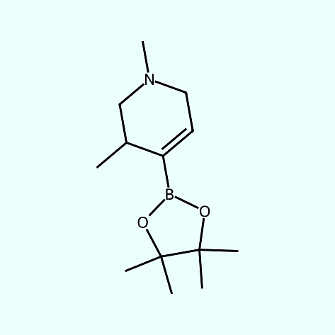 CC1CN(C)CC=C1B1OC(C)(C)C(C)(C)O1